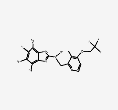 [2H]c1c([2H])c([2H])c2[nH]c([S+]([O-])Cc3nccc(OCC(F)(F)F)c3C)nc2c1[2H]